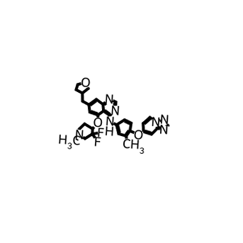 Cc1cc(Nc2ncnc3cc(CC4CCOC4)cc(OC4CCN(C)CC4(F)F)c23)ccc1Oc1ccn2ncnc2c1